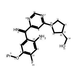 CC(C)Oc1cc(C(=N)c2cc(N3CC[C@@H](CO)C3)ncn2)c(N)cc1F